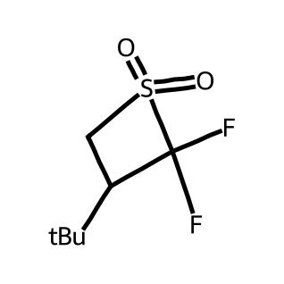 CC(C)(C)C1CS(=O)(=O)C1(F)F